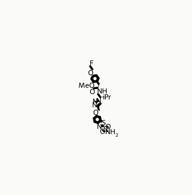 COC(=O)[C@H](Cc1ccc(OCCF)cc1)NC[C@H](C(C)C)n1cc(COc2ccc3nc(S(N)(=O)=O)sc3c2)nn1